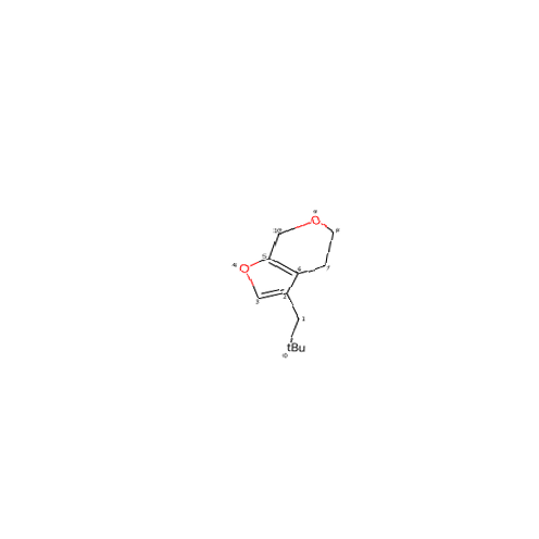 CC(C)(C)Cc1coc2c1CCOC2